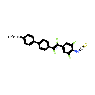 CCCCCc1ccc(-c2ccc(/C(F)=C(\F)c3cc(F)c(N=C=S)c(F)c3)cc2)cc1